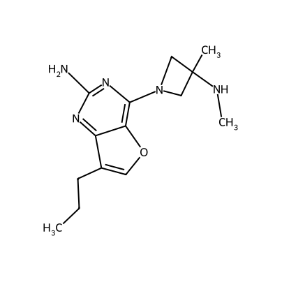 CCCc1coc2c(N3CC(C)(NC)C3)nc(N)nc12